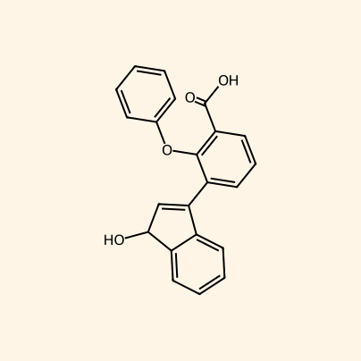 O=C(O)c1cccc(C2=CC(O)c3ccccc32)c1Oc1ccccc1